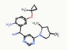 CC1CC(C)N(c2cc(C(=N)c3cc(OC4(C)CC4)ccc3N)ncn2)C1